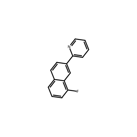 Fc1[c]ccc2ccc(-c3ccccn3)cc12